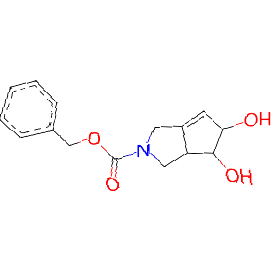 O=C(OCc1ccccc1)N1CC2=CC(O)C(O)C2C1